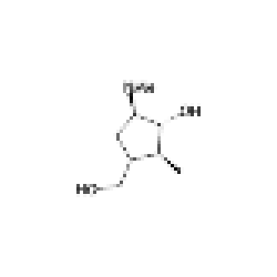 CN[C@@H]1CC(CO)[C@H](C)[C@H]1O